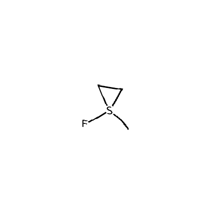 CS1(F)CC1